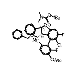 COc1ccc(C#N)c(-c2c(Cl)c(F)cc3c2[C@H](COCc2ccccc2)[C@@](CN(C)C(=O)OC(C)(C)C)(c2ccccc2)O3)c1F